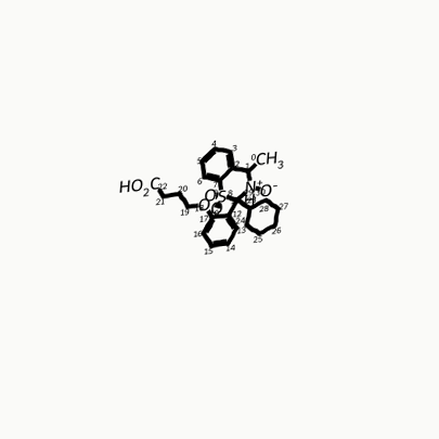 CC1c2ccccc2S(=O)(=O)C(c2ccccc2OCCCC(=O)O)(C2CCCCC2)[NH+]1[O-]